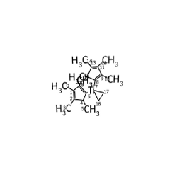 CC1=C(C)C(C)[C]([Ti]2([C]3=C(C)C(C)=C(C)C3C)[CH2][CH2]2)=C1C